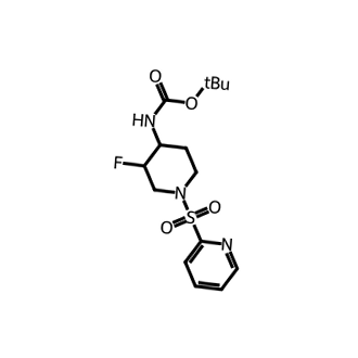 CC(C)(C)OC(=O)NC1CCN(S(=O)(=O)c2ccccn2)CC1F